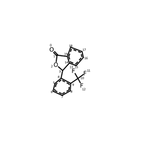 O=C1OC(c2ccccc2C(F)(F)F)c2ccccc21